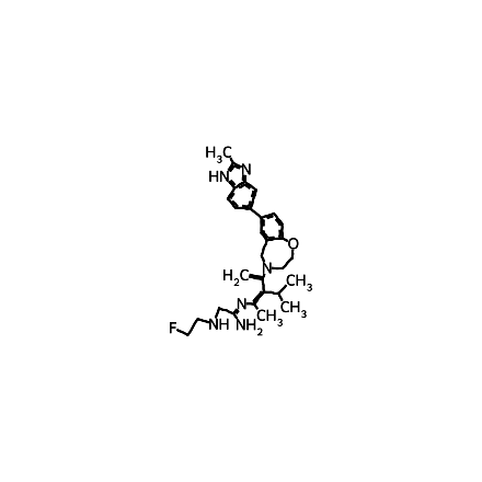 C=C(/C(=C(C)\N=C(/N)CNCCF)C(C)C)N1CCOc2ccc(-c3ccc4[nH]c(C)nc4c3)cc2C1